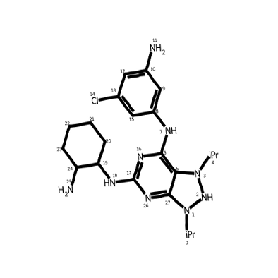 CC(C)N1NN(C(C)C)c2c(Nc3cc(N)cc(Cl)c3)nc(NC3CCCCC3N)nc21